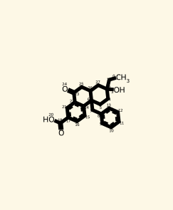 CCC1(O)CCC2(Cc3ccccc3)c3ccc(C(=O)O)cc3C(=O)CC2C1